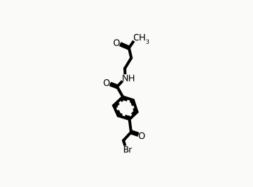 CC(=O)CCNC(=O)c1ccc(C(=O)CBr)cc1